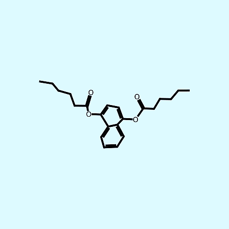 CCCCCC(=O)Oc1ccc(OC(=O)CCCCC)c2ccccc12